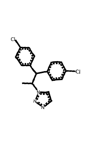 CC(C(c1ccc(Cl)cc1)c1ccc(Cl)cc1)n1ccnn1